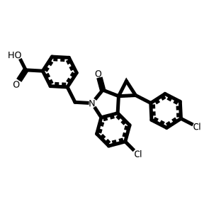 O=C(O)c1cccc(CN2C(=O)C3(CC3c3ccc(Cl)cc3)c3cc(Cl)ccc32)c1